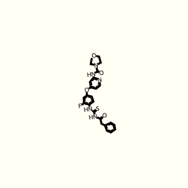 O=C(Cc1ccccc1)NC(=S)Nc1ccc(Oc2ccnc(NC(=O)N3CCOCC3)c2)cc1F